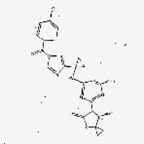 Cc1nc(NC2(c3cn(C(=O)c4ccc(Cl)cc4)cn3)CC2)nc(N2C(=O)OC3(CC3)[C@@H]2C(C)C)n1